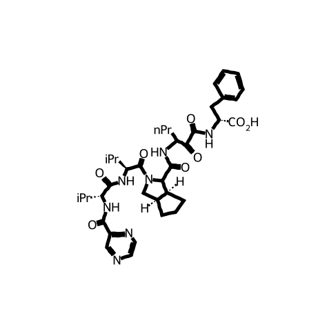 CCCC(NC(=O)C1[C@H]2CCC[C@H]2CN1C(=O)[C@@H](NC(=O)[C@H](NC(=O)c1cnccn1)C(C)C)C(C)C)C(=O)C(=O)N[C@H](Cc1ccccc1)C(=O)O